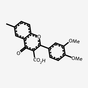 COc1ccc(-c2oc3ccc(C)cc3c(=O)c2C(=O)O)cc1OC